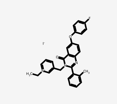 CC[n+]1cccc(Cn2c(-c3ccccc3C)nc3ccc(Oc4ccc(F)cc4)cc3c2=O)c1.[I-]